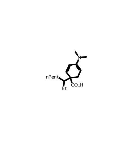 CCCCCC(CC)C1(C(=O)O)C=CC(N(C)C)=CC1